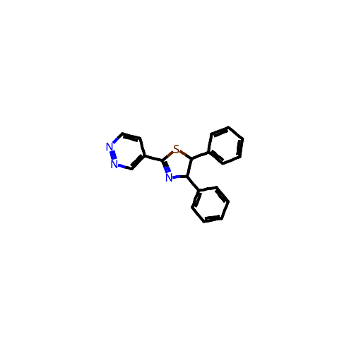 c1ccc(C2N=C(c3ccnnc3)SC2c2ccccc2)cc1